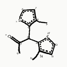 CC(=O)C(c1sccc1C)c1sccc1C